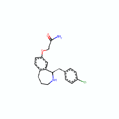 NC(=O)COc1ccc2c(c1)C(Cc1ccc(Cl)cc1)NCCC2